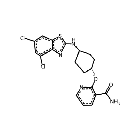 NC(=O)c1cccnc1O[C@H]1CC[C@H](Nc2nc3c(Cl)cc(Cl)cc3s2)CC1